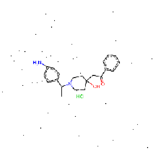 CC(c1ccc(N)cc1)N1CCC(O)(CC(=O)c2ccccc2)CC1.Cl